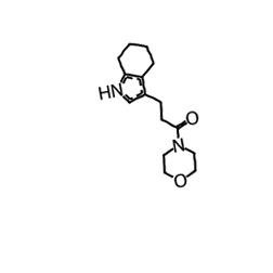 O=C(CCc1c[nH]c2c1CCCC2)N1CCOCC1